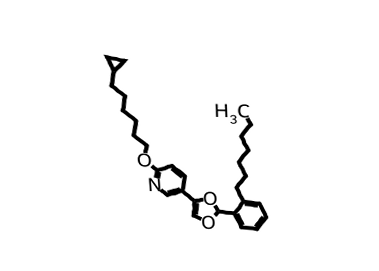 CCCCCCCc1ccccc1C1OC=C(c2ccc(OCCCCCCC3CC3)nc2)O1